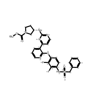 CC(C)(C)OC(=O)N1CC[C@H](Nc2nccc(-c3cccnc3Oc3ccc(NS(=O)(=O)Cc4ccccc4)c(F)c3F)n2)C1